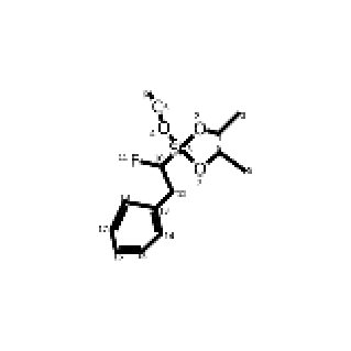 CCO[Si](OCC)(OCC)C(F)Cc1ccccc1